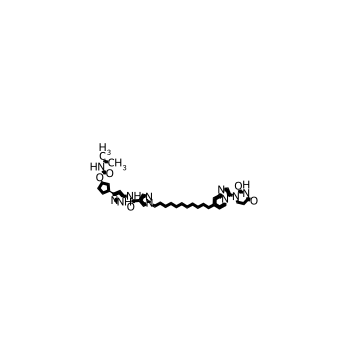 CC(C)NC(=O)O[C@@H]1CC[C@H](c2cc(NC(=O)c3cnn(CCCCCCCCCCCc4ccn5c(N6CCC(=O)NC6=O)cnc5c4)c3)[nH]n2)C1